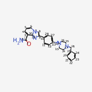 NC(=O)c1cccn2cc(-c3ccc(N4CCN(Cc5ccccc5)CC4)cc3)nc12